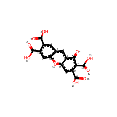 O=C(O)c1cc2cc3c(=O)c(C(=O)O)c(C(=O)O)cc-3oc2cc1C(=O)O